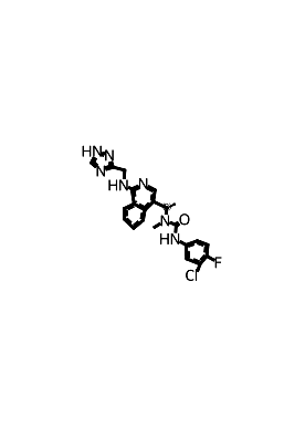 C[C@H](c1cnc(NCc2nc[nH]n2)c2ccccc12)N(C)C(=O)Nc1ccc(F)c(Cl)c1